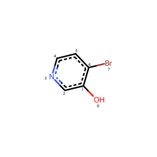 Oc1cnccc1Br